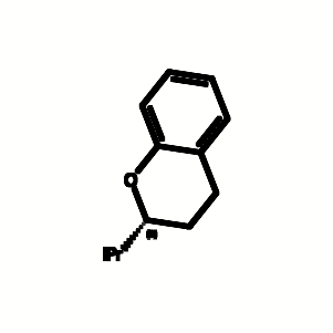 CC(C)[C@H]1CCc2ccccc2O1